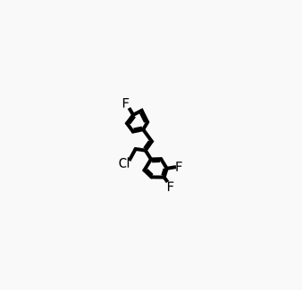 Fc1ccc(C=C(CCl)c2ccc(F)c(F)c2)cc1